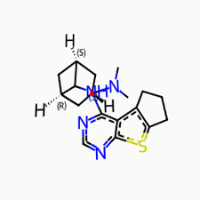 CN(C)[C@@H]1C[C@H]2C[C@@H](C1)C2Nc1ncnc2sc3c(c12)CCC3